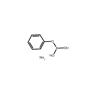 N.OB(O)Oc1ccccc1